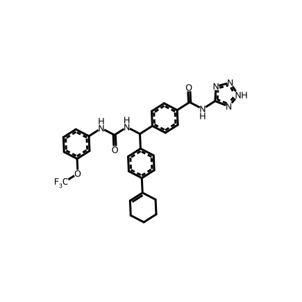 O=C(Nc1cccc(OC(F)(F)F)c1)NC(c1ccc(C(=O)Nc2nn[nH]n2)cc1)c1ccc(C2=CCCCC2)cc1